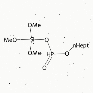 CCCCCCCO[PH](=O)O[Si](OC)(OC)OC